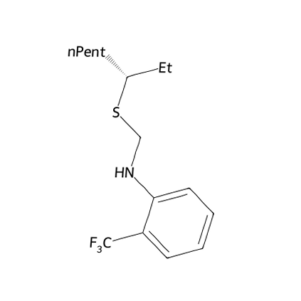 CCCCC[C@H](CC)SCNc1ccccc1C(F)(F)F